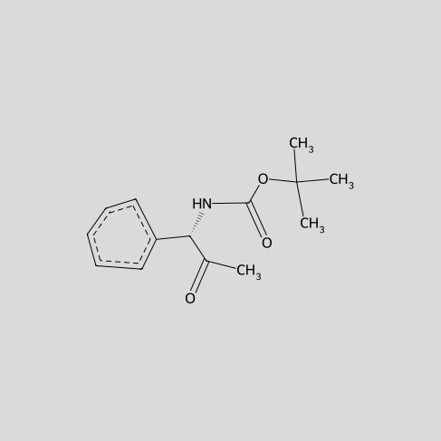 CC(=O)[C@@H](NC(=O)OC(C)(C)C)c1ccccc1